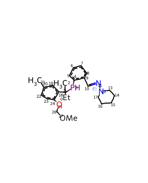 CCC(C)(Pc1ccccc1/C=N/N1CCCCC1)c1cc(C)ccc1OCOC